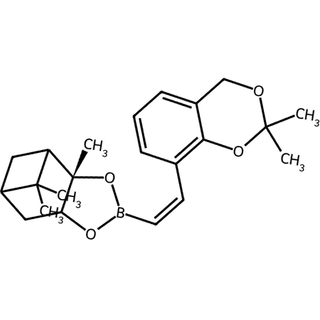 CC1(C)OCc2cccc(/C=C\B3OC4CC5CC(C5(C)C)[C@]4(C)O3)c2O1